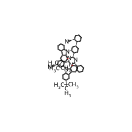 CC(C)(C)c1ccc2c(c1)c1ccccc1n2-c1cc(C#N)ccc1-c1nc(-c2ccccc2)nc(-c2ccc(-c3ccccc3C#N)cc2-n2c3ccccc3c3cc(C(C)(C)C)ccc32)n1